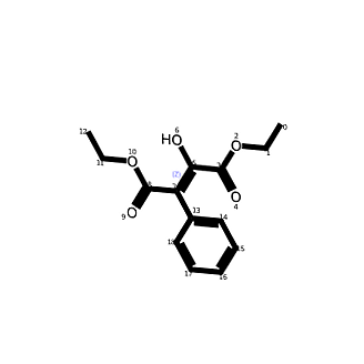 CCOC(=O)/C(O)=C(/C(=O)OCC)c1ccccc1